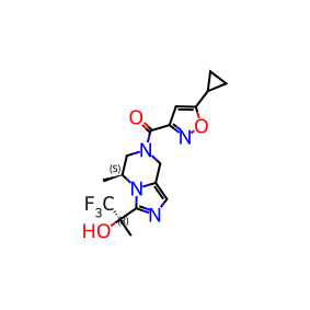 C[C@H]1CN(C(=O)c2cc(C3CC3)on2)Cc2cnc([C@@](C)(O)C(F)(F)F)n21